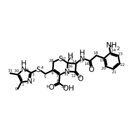 Cc1nc(SCC2=C(C(=O)O)N3C(=O)C(NC(=O)Cc4ccccc4N)[C@H]3SC2)[nH]c1C